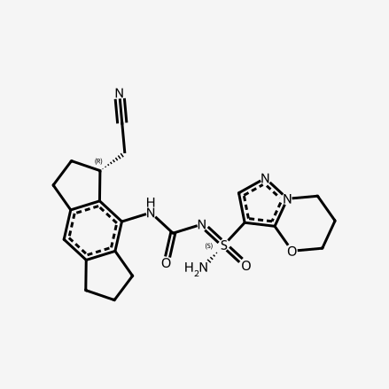 N#CC[C@H]1CCc2cc3c(c(NC(=O)N=[S@](N)(=O)c4cnn5c4OCCC5)c21)CCC3